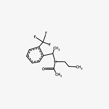 CCCN(C(C)=O)C(C)c1ccccc1C(F)(F)F